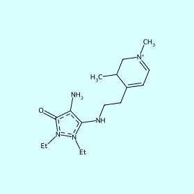 CCn1c(NCCC2=CC=[N+](C)CC2C)c(N)c(=O)n1CC